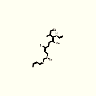 C=CNC(/C(C)=C\CC)=C(\CCCC)CC/C(=C\CN(CC)C/N=C\C=C/C)CC